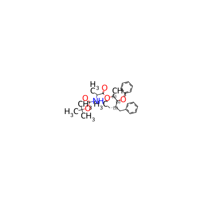 CC[C@@H](Cc1ccccc1)[C@H](Oc1ccccc1)[C@H](C)OC(=O)C(C)NC(=O)OC(C)(C)C